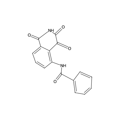 O=C1NC(=O)c2cccc(NC(=O)c3ccccc3)c2C1=O